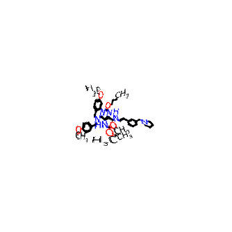 CCCCOc1nc(CNCCc2cccc(CN3CCCC3)c2)c(NC(=O)OC(C)(C)C)c(N(Cc2ccc(OC)cc2)Cc2ccc(OC)cc2)n1